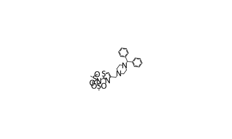 CS(=O)(=O)N(c1nc(CN2CCN(C(c3ccccc3)c3ccccc3)CC2)cs1)S(C)(=O)=O